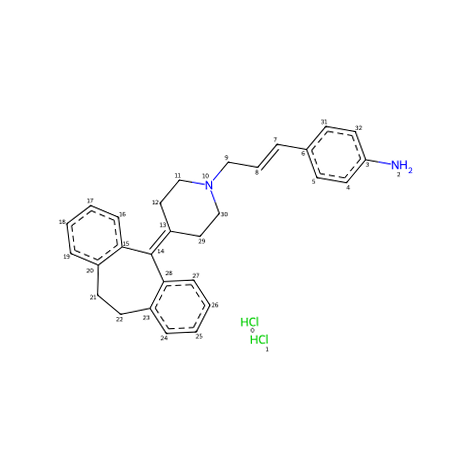 Cl.Cl.Nc1ccc(/C=C/CN2CCC(=C3c4ccccc4CCc4ccccc43)CC2)cc1